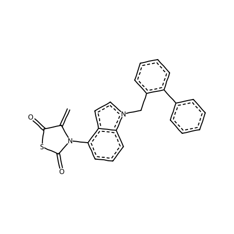 C=C1C(=O)SC(=O)N1c1cccc2c1ccn2Cc1ccccc1-c1ccccc1